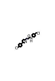 O=C(/C=C/c1ccc(-c2ccc(Cl)cc2)cn1)Nc1ccc(CCl)cc1